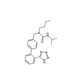 CCCCN(Cc1ccc(-c2ccccc2-c2nnn[nH]2)cc1)C(=O)NC(C)C